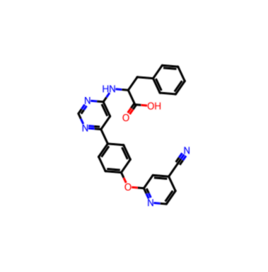 N#Cc1ccnc(Oc2ccc(-c3cc(NC(Cc4ccccc4)C(=O)O)ncn3)cc2)c1